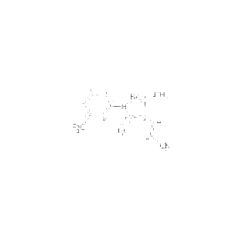 Cc1nn(-c2cccc(C(F)(F)F)c2)c(C)c1C=CC#N